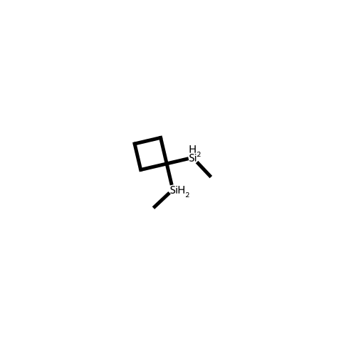 C[SiH2]C1([SiH2]C)CCC1